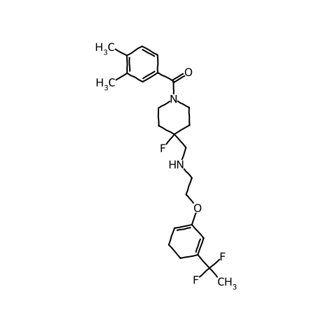 Cc1ccc(C(=O)N2CCC(F)(CNCCOC3=CCCC(C(C)(F)F)=C3)CC2)cc1C